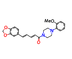 COc1ccccc1N1CCN(C(=O)/C=C/C=C/c2ccc3c(c2)OCO3)CC1